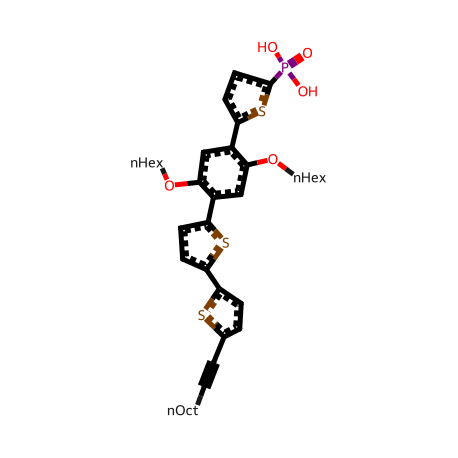 CCCCCCCCC#Cc1ccc(-c2ccc(-c3cc(OCCCCCC)c(-c4ccc(P(=O)(O)O)s4)cc3OCCCCCC)s2)s1